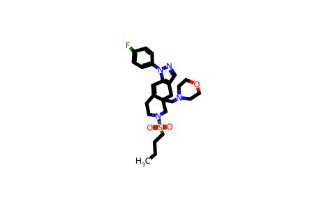 CCCCS(=O)(=O)N1CCC2=Cc3c(cnn3-c3ccc(F)cc3)CC2(CN2CCOCC2)C1